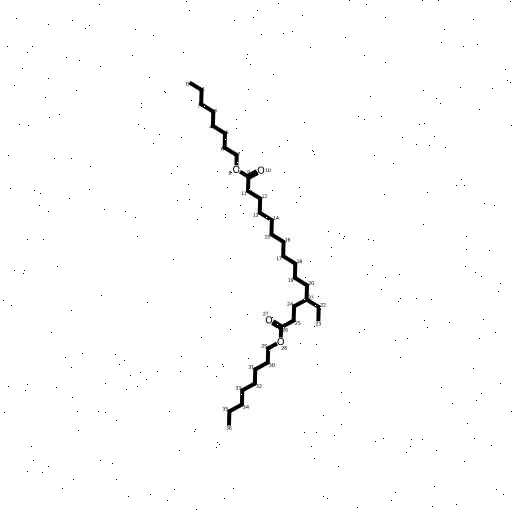 CCCCCCCCOC(=O)CCCCCCCCCCC(CC)CCC(=O)OCCCCCCCC